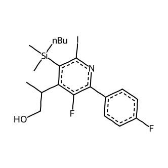 CCCC[Si](C)(C)c1c(I)nc(-c2ccc(F)cc2)c(F)c1C(C)CO